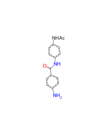 CC(=O)Nc1ccc(NC(=O)c2ccc(N)cc2)cc1